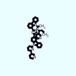 C=C(/N=C(\C=C/C)c1cccnc1)n1c2ccccc2c2cccc(-c3nnc(-c4ccc5c(c4)c4ccccc4n5-c4cccc(-c5cccnc5)n4)s3)c21